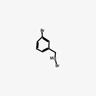 [Br][Mg][CH2]c1cccc(Br)c1